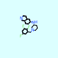 Fc1cc(F)c(F)c(CN2CCC[C@@H](Nc3ccc4cnccc4c3)C2)c1